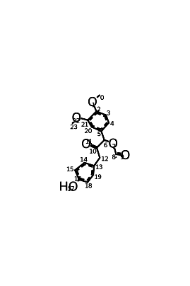 COc1ccc(C(O[C]=O)C(=O)Cc2ccc(O)cc2)cc1OC